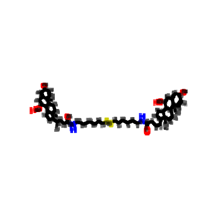 C[C@H](CCC(=O)NCCCCCCSSCCCCCCNC(=O)CC[C@@H](C)C1CCC2C3C(CC[C@@]21C)[C@@]1(C)C=CC(=O)C=C1C[C@H]3O)C1CCC2C3C(CC[C@@]21C)[C@@]1(C)C=CC(=O)C=C1C[C@H]3O